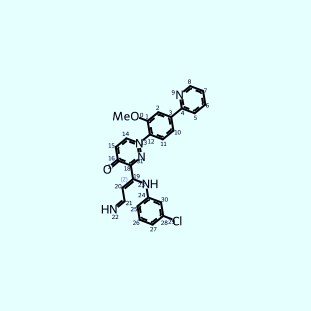 COc1cc(-c2ccccn2)ccc1-n1ccc(=O)c(/C(=C/C=N)Nc2cccc(Cl)c2)n1